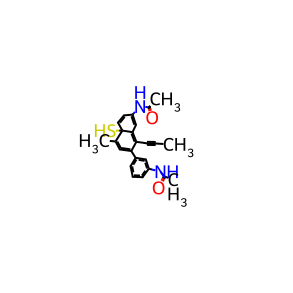 CC#CC1=C2C=C(NC(C)=O)C=CC2(S)C(C)=C=C1c1cccc(NC(C)=O)c1